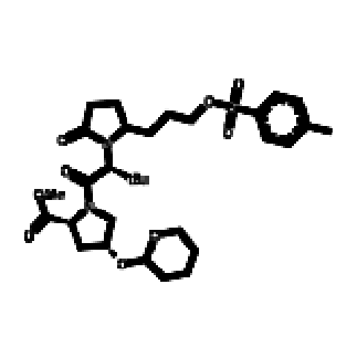 COC(=O)[C@@H]1C[C@@H](OC2CCCCO2)CN1C(=O)[C@@H](N1C(=O)CCC1CCCOS(=O)(=O)c1ccc(C)cc1)C(C)(C)C